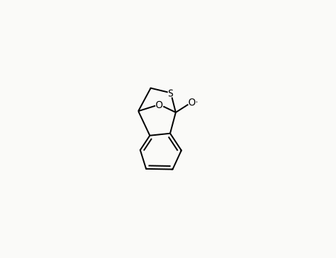 [O]C12OC(CS1)c1ccccc12